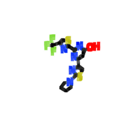 Oc1cc(-c2csc(N3CCCC3)n2)nc(-c2nc(C(F)(F)F)cs2)n1